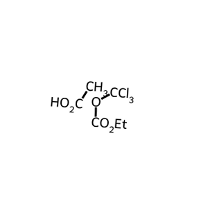 CC(=O)O.CCOC(=O)OC(Cl)(Cl)Cl